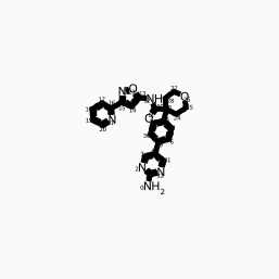 Nc1ncc(-c2ccc(C3(C(=O)Nc4cc(-c5ccccn5)no4)CCOCC3)cc2)cn1